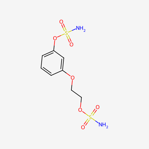 NS(=O)(=O)OCCOc1cccc(OS(N)(=O)=O)c1